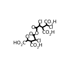 O=C(O)C(Cl)C(C(=O)O)C(Cl)C(=O)OC(=O)C(Cl)C(C(=O)O)C(Cl)C(=O)O